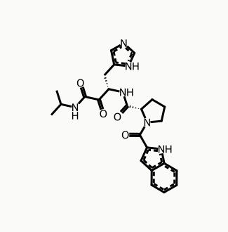 CC(C)NC(=O)C(=O)[C@H](Cc1cnc[nH]1)NC(=O)[C@@H]1CCCN1C(=O)c1cc2ccccc2[nH]1